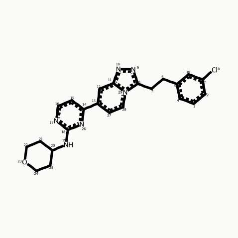 Clc1cccc(CCc2nnc3cc(-c4ccnc(NC5CCOCC5)n4)ccn23)c1